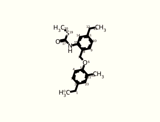 CCc1ccc(OCc2ccc(CC)cc2NC(=O)SC)c(C)c1